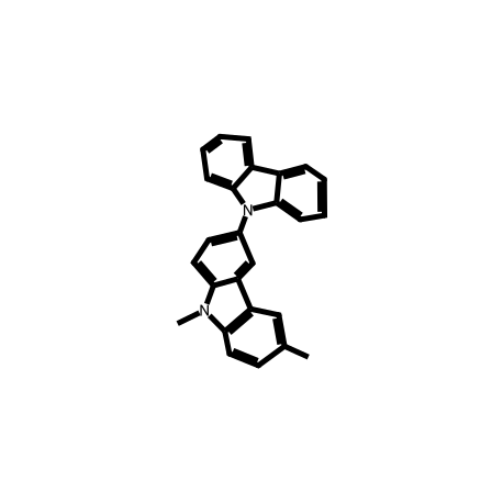 Cc1ccc2c(c1)c1cc(-n3c4ccccc4c4ccccc43)ccc1n2C